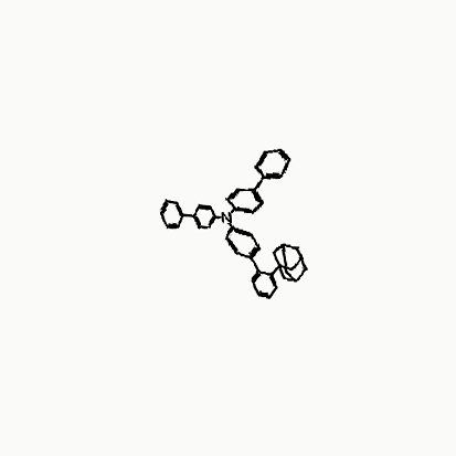 c1ccc(-c2ccc(N(c3ccc(-c4ccccc4)cc3)c3ccc(-c4ccccc4C45CC6CC(CC(C6)C4)C5)cc3)cc2)cc1